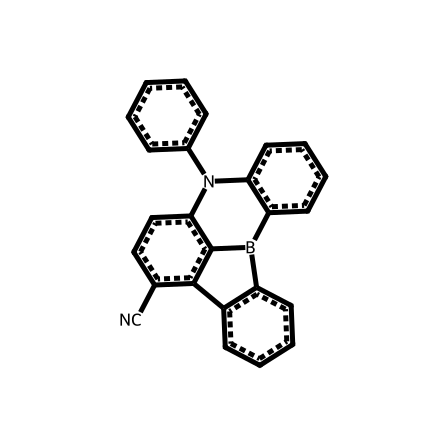 N#Cc1ccc2c3c1-c1ccccc1B3c1ccccc1N2c1ccccc1